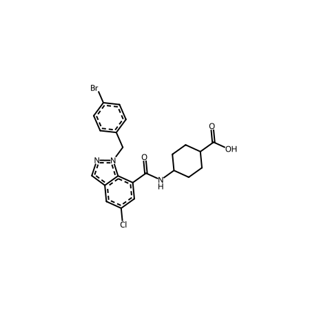 O=C(NC1CCC(C(=O)O)CC1)c1cc(Cl)cc2cnn(Cc3ccc(Br)cc3)c12